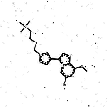 CSc1nc(Br)cn2c(-c3cnn(COCC[Si](C)(C)C)c3)cnc12